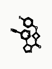 C[C@@H]1[C@@H](Oc2ccc(F)cc2)CN1C(=O)N1N=CC[C@H]1c1cncc(C#N)c1